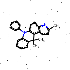 Cc1ccc2c3c(ccc2n1)N(c1ccccc1)c1ccccc1C3(C)C